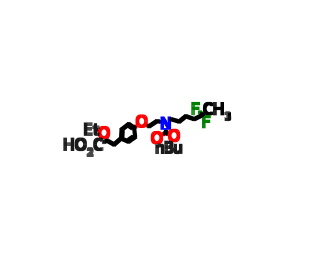 CCCCOC(=O)N(CCCCC(C)(F)F)CCOc1ccc(CC(OCC)C(=O)O)cc1